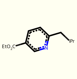 CCOC(=O)c1ccc(CC(C)C)nc1